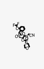 N#CCNC(=O)[C@H](CS(=O)(=O)Cc1ccccc1OC(F)F)OC(=O)N1CCOCC1